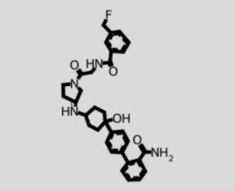 NC(=O)c1ccccc1-c1ccc(C2(O)CCC(N[C@H]3CCN(C(=O)CNC(=O)c4cccc(CF)c4)C3)CC2)cc1